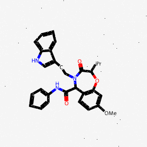 COc1ccc2c(c1)OC(C(C)C)C(=O)N(CCc1c[nH]c3ccccc13)C2C(=O)Nc1ccccc1